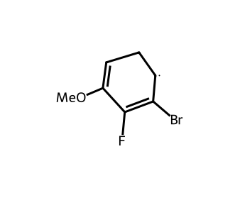 COC1=CC[CH]C(Br)=C1F